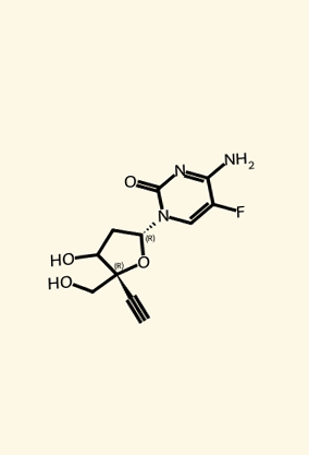 C#C[C@]1(CO)O[C@@H](n2cc(F)c(N)nc2=O)CC1O